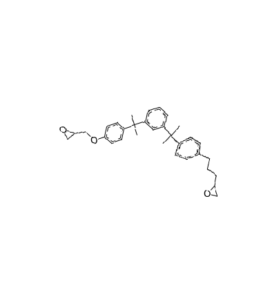 CC(C)(c1ccc(CCCC2CO2)cc1)c1cccc(C(C)(C)c2ccc(OCC3CO3)cc2)c1